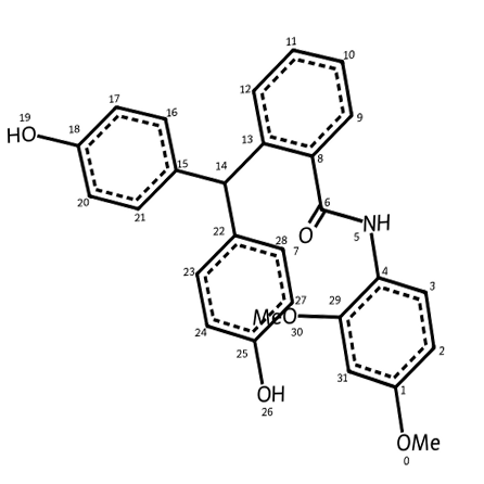 COc1ccc(NC(=O)c2ccccc2C(c2ccc(O)cc2)c2ccc(O)cc2)c(OC)c1